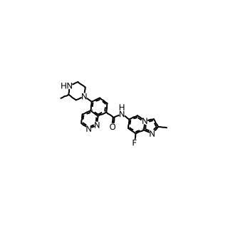 Cc1cn2cc(NC(=O)c3ccc(N4CCNC(C)C4)c4ccnnc34)cc(F)c2n1